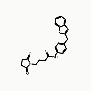 O=C(CCCN1C(=O)CCC1=O)Nc1ccc(Cc2nc3ccccc3s2)cc1